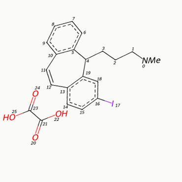 CNCCCC1c2ccccc2C=Cc2ccc(I)cc21.O=C(O)C(=O)O